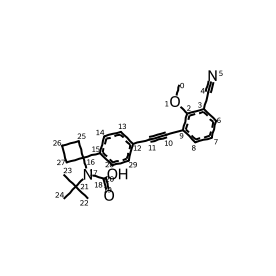 COc1c(C#N)cccc1C#Cc1ccc(C2(N(C(=O)O)C(C)(C)C)CCC2)cc1